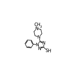 CN1CCN(c2nc(S)nn2-c2ccccc2)CC1